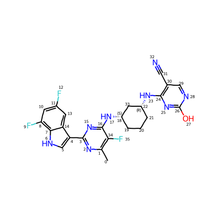 Cc1nc(-c2c[nH]c3c(F)cc(F)cc23)nc(N[C@H]2CCC[C@@H](Nc3nc(O)ncc3C#N)C2)c1F